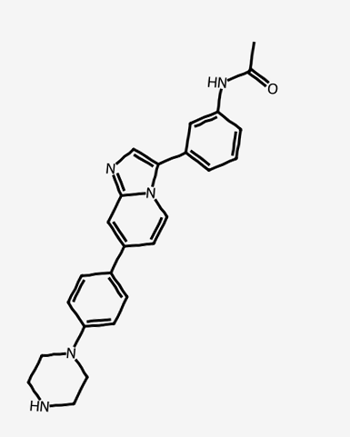 CC(=O)Nc1cccc(-c2cnc3cc(-c4ccc(N5CCNCC5)cc4)ccn23)c1